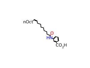 CCCCCCCC/C=C\CCCCCCCC(=O)Nc1cccc(C(=O)O)c1